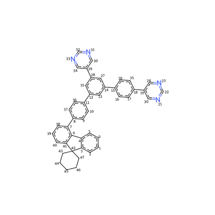 c1ccc2c(c1)-c1c(-c3ccc(-c4cc(-c5ccc(-c6cncnc6)cc5)cc(-c5cncnc5)c4)cc3)cccc1C21CCCCC1